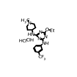 CCOc1nc(Nc2cccc(C(F)(F)F)c2)nc(NC2CCN(C)CC2)n1.Cl.Cl